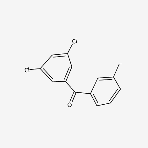 [CH2]c1cccc(C(=O)c2cc(Cl)cc(Cl)c2)c1